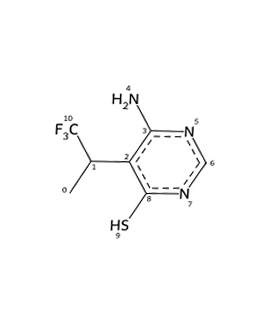 CC(c1c(N)ncnc1S)C(F)(F)F